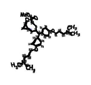 C=C1C/C1=C/C(CCC(=O)OC)=C(c1ccc(OCCCN(C)C)cc1)c1ccc(OCCCN(C)C)cc1